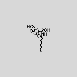 CCCCCCCC(=O)N[C@@H](C(=O)N[C@H](CO)C(=O)O)[C@H](C)O